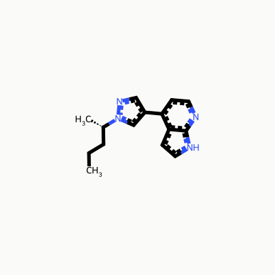 CCC[C@H](C)n1cc(-c2ccnc3[nH]ccc23)cn1